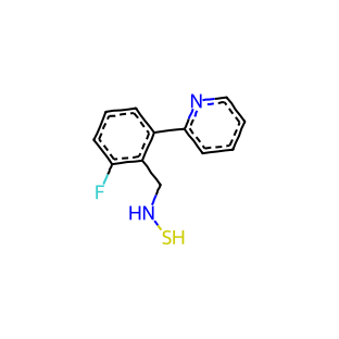 Fc1cccc(-c2ccccn2)c1CNS